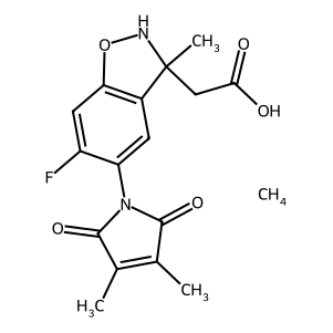 C.CC1=C(C)C(=O)N(c2cc3c(cc2F)ONC3(C)CC(=O)O)C1=O